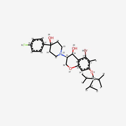 Cc1c(O[Si](C(C)C)(C(C)C)C(C)C)cc2c(c1Br)[C@H](O)[C@H](N1CCC(O)(c3ccc(F)cc3)CC1)CO2